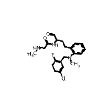 CNCC(=O)NC(C=O)CCc1ccccc1N(C)CC1=C(F)CCC(Cl)=C1